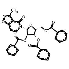 Cc1noc2ccn([C@@H]3O[C@H](COC(=O)c4ccccc4)[C@H](OC(=O)c4ccccc4)[C@H]3OC(=O)c3ccccc3)c(=O)c12